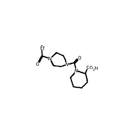 CCC(=O)N1CCN(C(=O)N2CCCCC2C(=O)O)CC1